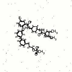 Cc1cc(C(=O)NC2CCC(NC(=O)c3cc(F)cnc3Oc3cccc(-c4cccc(CCCOS(C)(=O)=O)c4)c3)CC2)nn1C